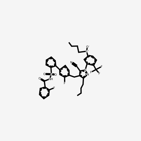 CCCCc1nn(-c2cc([S+]([O-])CCCC)ccc2C(F)(F)F)c(C#N)c1Cc1ccc(-c2ccccc2S(=O)(=O)NC(=O)c2ccccc2F)cc1F